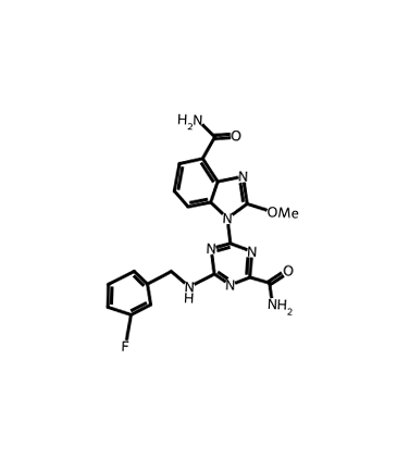 COc1nc2c(C(N)=O)cccc2n1-c1nc(NCc2cccc(F)c2)nc(C(N)=O)n1